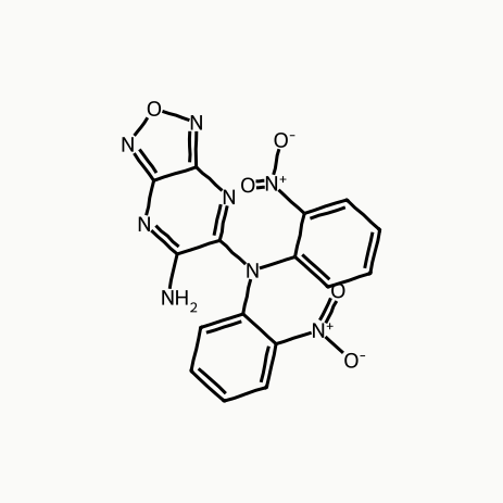 Nc1nc2nonc2nc1N(c1ccccc1[N+](=O)[O-])c1ccccc1[N+](=O)[O-]